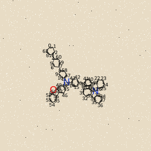 c1ccc(-c2ccc(-c3ccc(N(c4ccc(-c5ccc(-c6ccccc6-n6c7ccccc7c7ccccc76)cc5)cc4)c4ccc5c(c4)oc4ccccc45)cc3)cc2)cc1